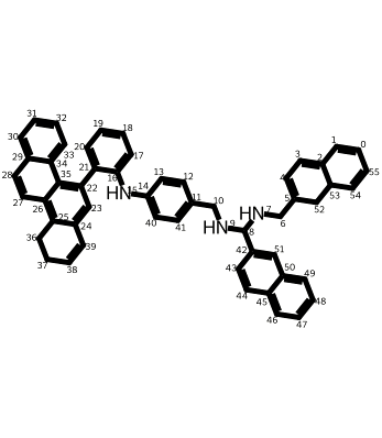 C1=CC2=CC=C(CNC(NCc3ccc(Nc4ccccc4-c4cc5c(c6ccc7ccccc7c46)CCC=C5)cc3)c3ccc4ccccc4c3)CC2C=C1